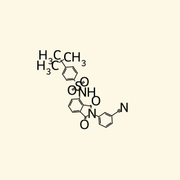 CC(C)(C)c1ccc(S(=O)(=O)Nc2cccc3c2C(=O)N(c2cccc(C#N)c2)C3=O)cc1